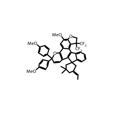 C/C=C1\CC(C)(C)CC2(C1)c1ccccc1-c1c2c2c(c3cc(OC)c4c(c13)C(C(F)(F)F)(C(F)(F)F)CO4)OC(c1ccc(OC)cc1)(c1ccc(OC)cc1)C=C2